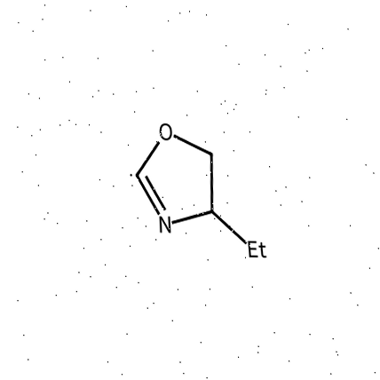 CCC1CO[C]=N1